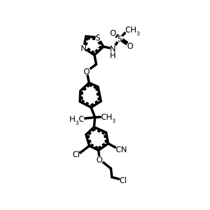 CC(C)(c1ccc(OCc2ncsc2NS(C)(=O)=O)cc1)c1cc(Cl)c(OCCCl)c(C#N)c1